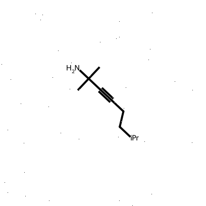 CC(C)CCC#CC(C)(C)N